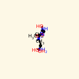 CCC(CCCCCc1ccc(CCC(N)(CO)CO)cc1)[N+]#Cc1cc(-c2nc(-c3cccc4c3CC[C@@H]4NCCO)no2)ccc1OC(C)C